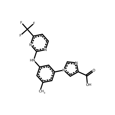 Cc1cc(Nc2nccc(C(F)(F)F)n2)cc(-n2cnc(C(=O)O)c2)c1